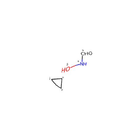 C1CC1.O=CNO